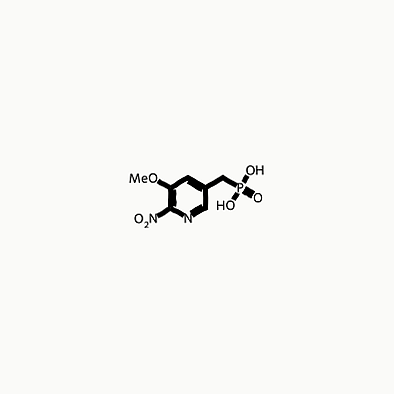 COc1cc(CP(=O)(O)O)cnc1[N+](=O)[O-]